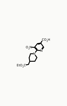 CCOC(=O)CC1CCN(c2ncc(C(=O)O)cc2[N+](=O)[O-])CC1